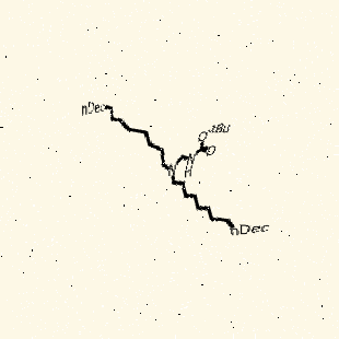 CCCCCCCCCCCCCCCCCCN(CCCCCCCCCCCCCCCCCC)CNC(=O)OC(C)(C)C